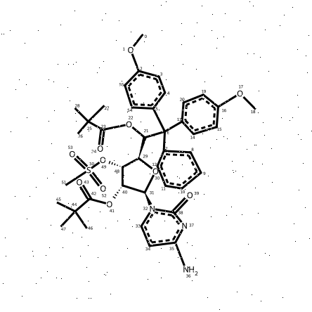 COc1ccc(C(c2ccccc2)(c2ccc(OC)cc2)C(OC(=O)C(C)(C)C)[C@H]2O[C@@H](n3ccc(N)nc3=O)[C@H](OC(=O)C(C)(C)C)[C@@H]2OS(C)(=O)=O)cc1